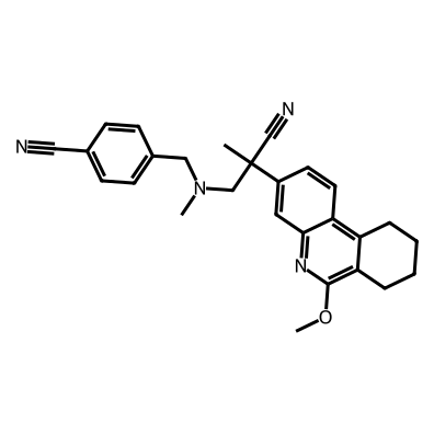 COc1nc2cc(C(C)(C#N)CN(C)Cc3ccc(C#N)cc3)ccc2c2c1CCCC2